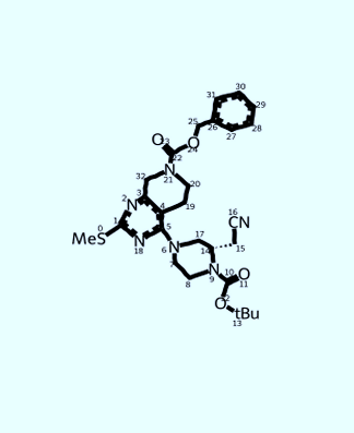 CSc1nc2c(c(N3CCN(C(=O)OC(C)(C)C)[C@@H](CC#N)C3)n1)CCN(C(=O)OCc1ccccc1)C2